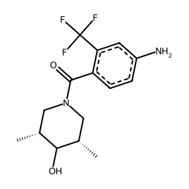 C[C@@H]1CN(C(=O)c2ccc(N)cc2C(F)(F)F)C[C@H](C)C1O